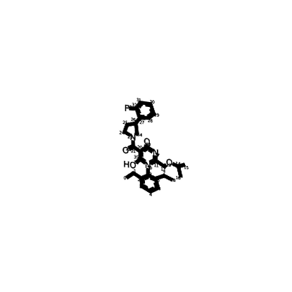 CCc1cccc(CC)c1-n1c(COC(C)C)nc(=O)c(C(=O)N2CCC(c3ccccc3F)C2)c1O